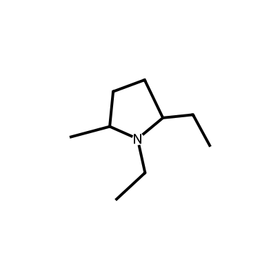 CCC1CCC(C)N1CC